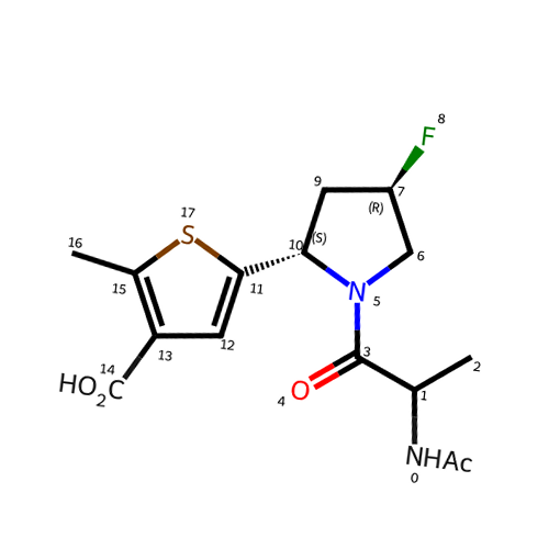 CC(=O)NC(C)C(=O)N1C[C@H](F)C[C@H]1c1cc(C(=O)O)c(C)s1